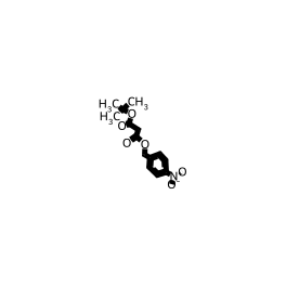 CC(C)(C)OC(=O)CC(=O)OCc1ccc([N+](=O)[O-])cc1